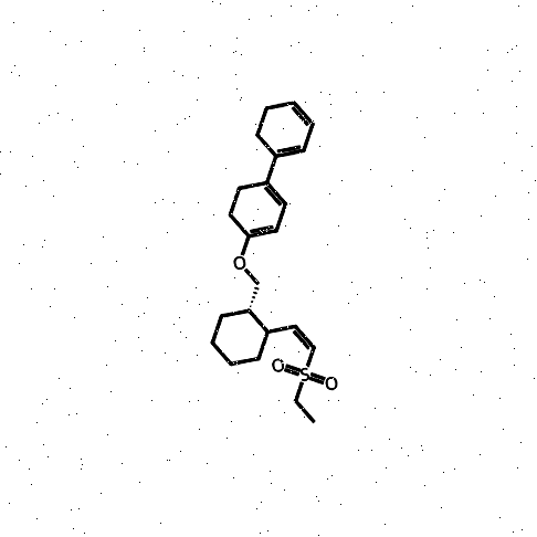 CCS(=O)(=O)/C=C\C1CCCC[C@@H]1COC1=CC=C(C2=CC=CCC2)CC1